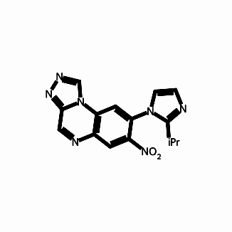 CC(C)c1nccn1-c1cc2c(cc1[N+](=O)[O-])ncc1nncn12